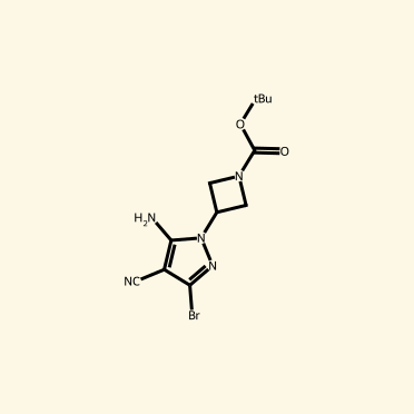 CC(C)(C)OC(=O)N1CC(n2nc(Br)c(C#N)c2N)C1